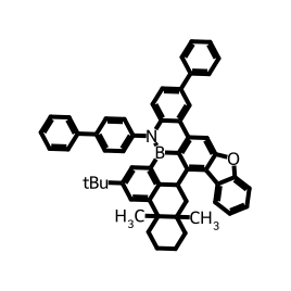 CC(C)(C)c1cc2c3c(c1)C1(C)CCCCC1(C)CC3c1c3c(cc4oc5ccccc5c14)-c1cc(-c4ccccc4)ccc1N(c1ccc(-c4ccccc4)cc1)B23